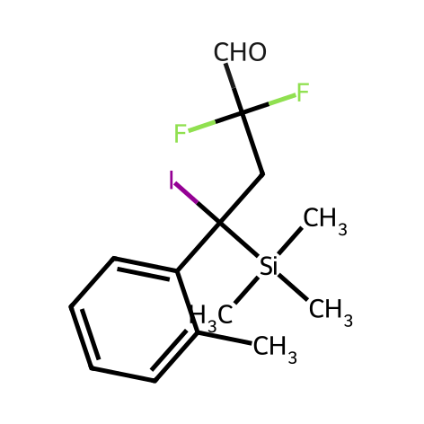 Cc1ccccc1C(I)(CC(F)(F)C=O)[Si](C)(C)C